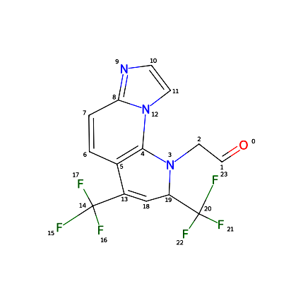 O=CCN1c2c(ccc3nccn23)C(C(F)(F)F)=CC1C(F)(F)F